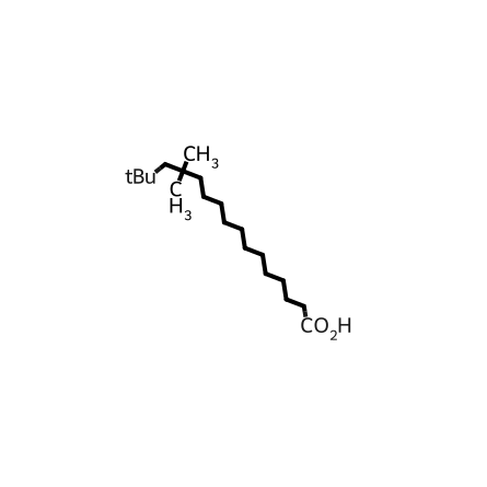 CC(C)(C)CC(C)(C)CCCCCCCCCCCC(=O)O